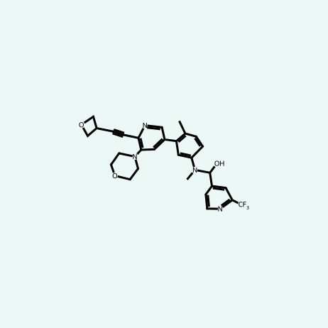 Cc1ccc(N(C)C(O)c2ccnc(C(F)(F)F)c2)cc1-c1cnc(C#CC2COC2)c(N2CCOCC2)c1